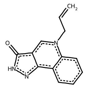 C=CCn1cc2c(=O)[nH]nc-2c2ccccc21